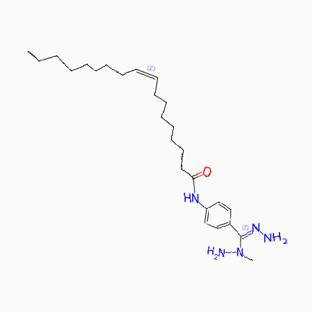 CCCCCCCC/C=C\CCCCCCCC(=O)Nc1ccc(/C(=N/N)N(C)N)cc1